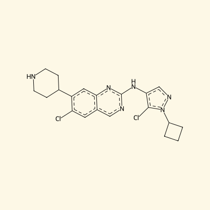 Clc1cc2cnc(Nc3cnn(C4CCC4)c3Cl)nc2cc1C1CCNCC1